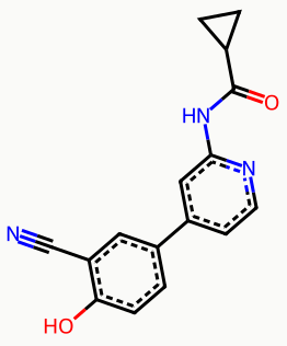 N#Cc1cc(-c2ccnc(NC(=O)C3CC3)c2)ccc1O